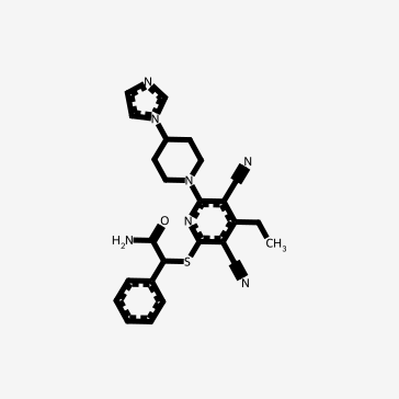 CCc1c(C#N)c(SC(C(N)=O)c2ccccc2)nc(N2CCC(n3ccnc3)CC2)c1C#N